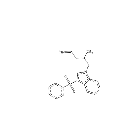 CC(CC=N)Cn1cc(S(=O)(=O)c2ccccc2)c2ccccc21